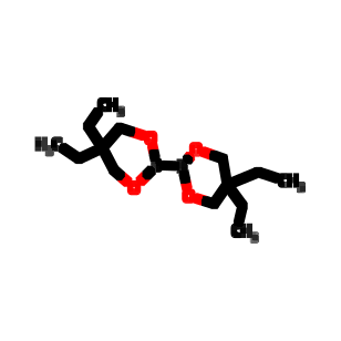 CCC1(CC)COB(B2OCC(CC)(CC)CO2)OC1